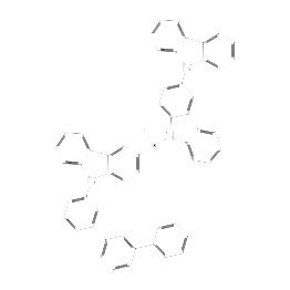 CCC(C)(c1ccc2c(c1)c1ccccc1n2-c1cccc(-c2cccc(-c3ccccc3)c2)c1)n1c2ccccc2c2cc(-n3c4ccccc4c4ccccc43)ccc21